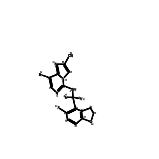 [2H]C([2H])(Nc1ncc(Br)c2nc(C#N)cn12)c1c(F)ccc2c1CCO2